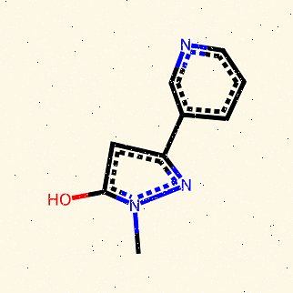 Cn1nc(-c2cccnc2)cc1O